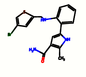 Cc1[nH]c(-c2ccccc2NCc2cc(Br)cs2)cc1C(N)=O